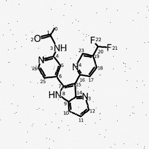 CC(=O)Nc1cc(-c2[nH]c3cccnc3c2-c2ccc(C(F)F)cn2)ccn1